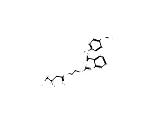 COc1ccc(N(C)c2nc(NCCOC(=N)C[C@H](N)C(=O)O)nc3ccccc23)cc1